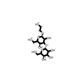 OCC1O[C@H](OC2C(O)[C@H](OCCS)OC(CO)[C@@H]2O)C(O)C(O)[C@H]1O